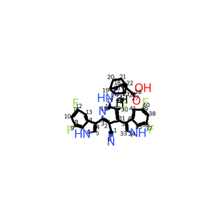 N#Cc1c(-c2c[nH]c3c(F)cc(F)cc23)nc(N[C@H]2C3CCC(CC3)[C@@H]2C(=O)O)c(F)c1-c1c[nH]c2c(F)cc(F)cc12